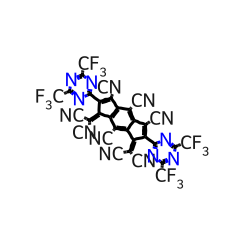 N#CC(C#N)=C1C(c2nc(C(F)(F)F)nc(C(F)(F)F)n2)=C(C#N)c2c(C#N)c3c(c(C#N)c21)C(=C(C#N)C#N)C(c1nc(C(F)(F)F)nc(C(F)(F)F)n1)=C3C#N